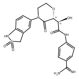 N=C(N)c1ccc(NC(=O)[C@H](O)[C@H]2OCCN(c3ccc4c(c3)CS(=O)(=O)N4)C2=O)cc1